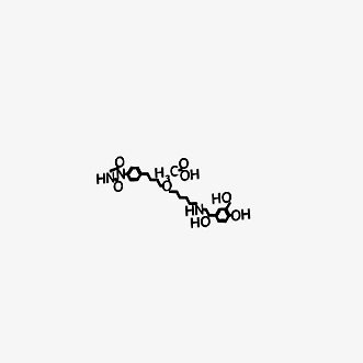 CC(=O)O.O=C1CNC(=O)N1c1ccc(CCCCOCCCCCCNC[C@H](O)c2ccc(O)c(CO)c2)cc1